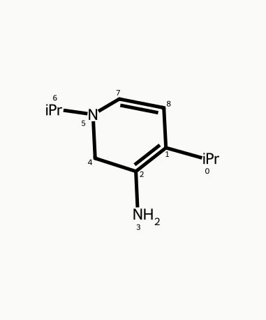 CC(C)C1=C(N)CN(C(C)C)C=C1